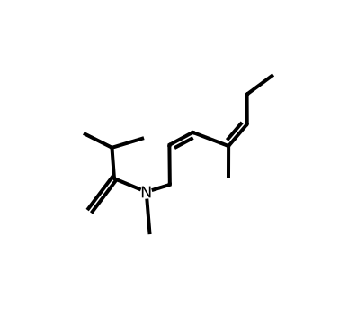 C=C(C(C)C)N(C)C/C=C\C(C)=C/CC